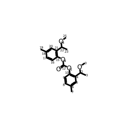 COC(C)c1cc(C)ccc1OC(=O)Oc1ccc(C)cc1C(C)OC